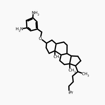 CC(C)CCCC(C)C1CCC2C3CCC4CC(OCc5cc(N)cc(N)c5)CCC4(C)C3CCC12C